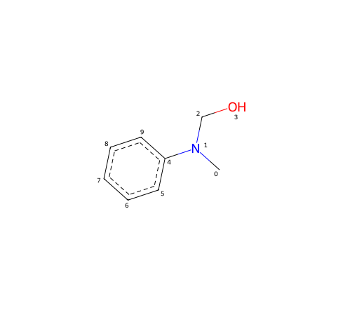 CN(CO)c1ccccc1